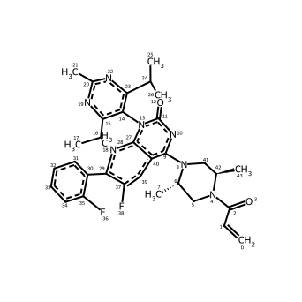 C=CC(=O)N1C[C@H](C)N(c2nc(=O)n(-c3c(C(C)C)nc(C)nc3C(C)C)c3nc(-c4ccccc4F)c(F)cc23)C[C@H]1C